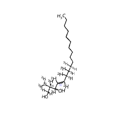 [2H]/C(=C(/[2H])[C@@]([2H])(O)[C@@]([2H])(N([2H])[2H])C([2H])([2H])O)C([2H])([2H])C([2H])([2H])C([2H])([2H])CCCCCCCCCC